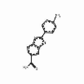 NC(=O)c1ccc2sc(-c3ccc(N)cc3)nc2c1